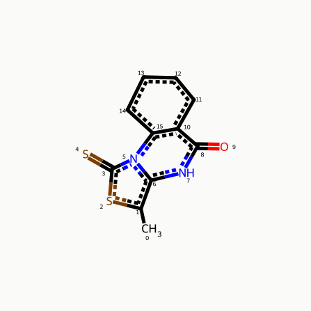 Cc1sc(=S)n2c1[nH]c(=O)c1ccccc12